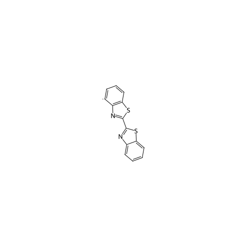 [c]1cccc2sc(-c3nc4ccccc4s3)nc12